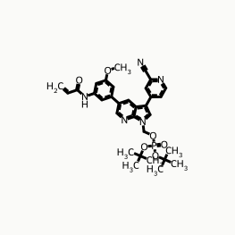 C=CC(=O)Nc1cc(OC)cc(-c2cnc3c(c2)c(-c2ccnc(C#N)c2)cn3COP(=O)(OC(C)(C)C)OC(C)(C)C)c1